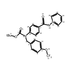 CC(C)(C)OC(=O)N(Cc1ccc(OC(F)(F)F)cc1)c1ccc(C(=O)[N-][n+]2ccccc2)cc1